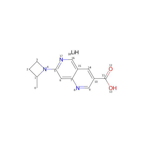 CC1CCN1c1cc2ncc(C(=O)O)cc2cn1.[LiH]